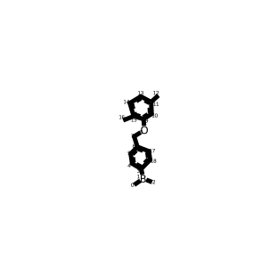 CB(C)c1ccc(COc2cc(C)ccc2C)cc1